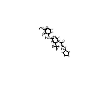 O=C(NCC1CCCC1)c1cnc(Nc2cccc(Cl)c2F)nc1C(F)(F)F